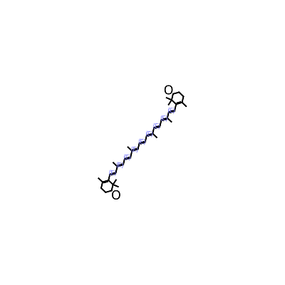 CC1=C(/C=C/C(C)=C/C=C/C(C)=C/C=C/C=C(C)/C=C/C=C(C)/C=C/C2=C(C)CCC(=O)C2(C)C)C(C)(C)C(=O)CC1